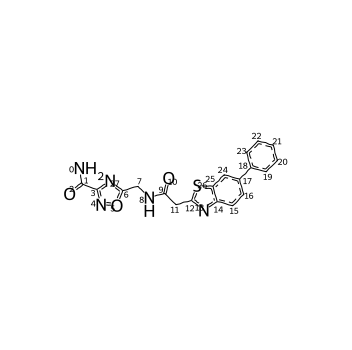 NC(=O)c1noc(CNC(=O)Cc2nc3ccc(-c4ccccc4)cc3s2)n1